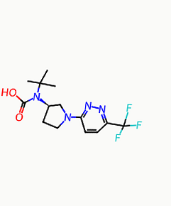 CC(C)(C)N(C(=O)O)[C@@H]1CCN(c2ccc(C(F)(F)F)nn2)C1